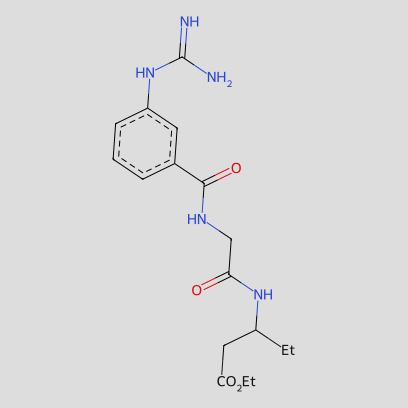 CCOC(=O)CC(CC)NC(=O)CNC(=O)c1cccc(NC(=N)N)c1